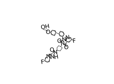 O=C(NC1CCC(n2c(=O)c3cc(F)cnc3n(-c3cccc(-c4ccc(OCCO)cc4)c3)c2=O)CC1)c1cn2cc(F)ccc2n1